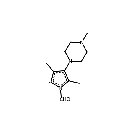 Cc1[c]n(C=O)c(C)c1N1CCN(C)CC1